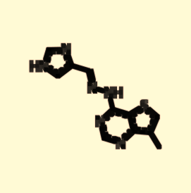 Cc1csc2c(NN=Cc3c[nH]cn3)ncnc12